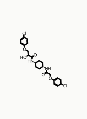 O=C(COc1ccc(Cl)cc1)N[C@H]1CC[C@H](NC(=O)C(O)COc2ccc(Cl)cc2)CC1